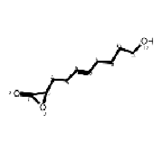 O=C1OC1CCC=CCCCCO